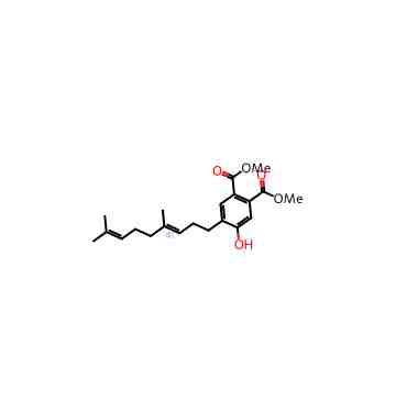 COC(=O)c1cc(O)c(CC/C=C(\C)CCC=C(C)C)cc1C(=O)OC